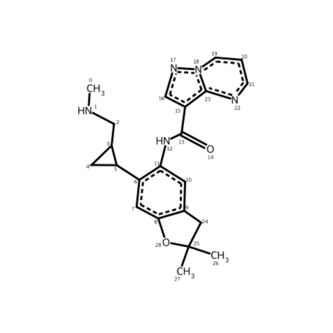 CNCC1CC1c1cc2c(cc1NC(=O)c1cnn3cccnc13)CC(C)(C)O2